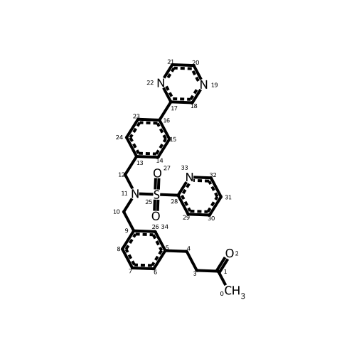 CC(=O)CCc1cccc(CN(Cc2ccc(-c3cnccn3)cc2)S(=O)(=O)c2ccccn2)c1